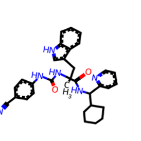 CC(Cc1c[nH]c2ccccc12)(NC(=O)Nc1ccc(C#N)cc1)C(=O)NC(c1ccccn1)C1CCCCC1